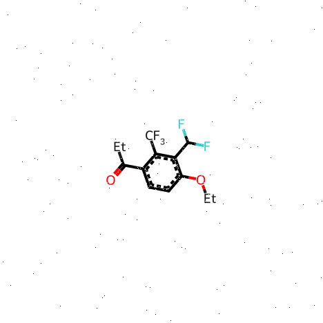 CCOc1ccc(C(=O)CC)c(C(F)(F)F)c1C(F)F